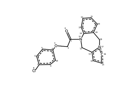 O=C(COc1ccc(Cl)cc1)N1Cc2cccn2Cc2ccccc21